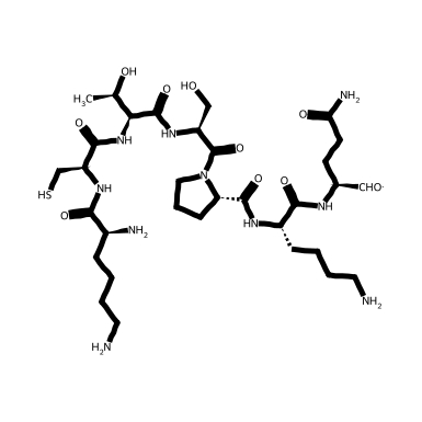 C[C@@H](O)[C@H](NC(=O)[C@H](CS)NC(=O)[C@@H](N)CCCCN)C(=O)N[C@@H](CO)C(=O)N1CCC[C@H]1C(=O)N[C@@H](CCCCN)C(=O)N[C@H]([C]=O)CCC(N)=O